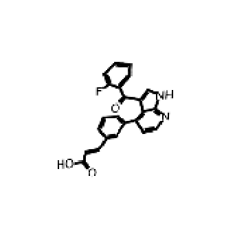 O=C(O)C=Cc1cccc(-c2ccnc3[nH]cc(C(=O)c4ccccc4F)c23)c1